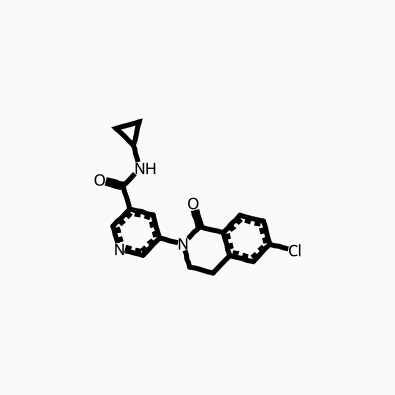 O=C(NC1CC1)c1cncc(N2CCc3cc(Cl)ccc3C2=O)c1